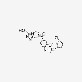 Nc1ncc(C(=O)N2CCn3c(CO)nnc3C2)cc1OCc1c(Cl)cccc1Cl